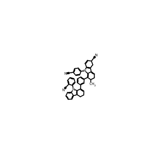 CC1CC=c2c3c(n(-c4ccc(C#N)cc4)c2=C1c1cccc(C2=CCCc4c2n(-c2ccccc2C#N)c2ccccc42)c1)C=CC(C#N)C3